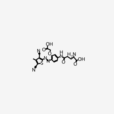 Cc1c(C#N)sc(N=Nc2ccc(NC(=O)CCC(N)C(=O)O)cc2OCC(=O)O)c1C#N